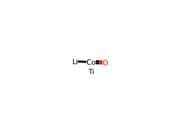 [Li][Co]=[O].[Ti]